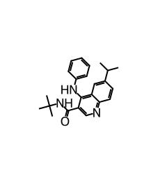 CC(C)c1ccc2ncc(C(=O)NC(C)(C)C)c(Nc3ccccc3)c2c1